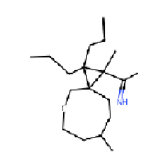 CCCC1(CCC)C2(CCCCC(C)CC2)C1(C)C(C)=N